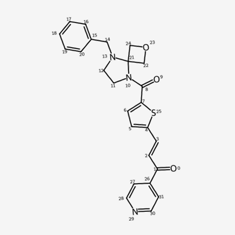 O=C(/C=C/c1ccc(C(=O)N2CCN(Cc3ccccc3)C23COC3)s1)c1ccncc1